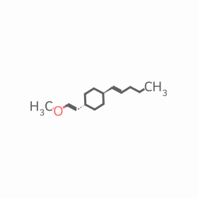 CCCC=C[C@H]1CC[C@H](C=COC)CC1